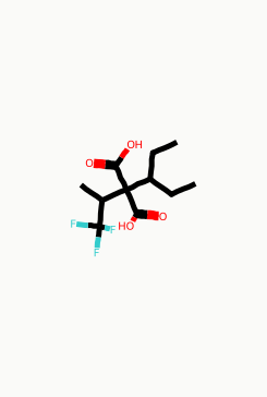 CCC(CC)C(C(=O)O)(C(=O)O)C(C)C(F)(F)F